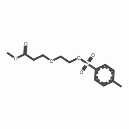 COC(=O)CCOCCOS(=O)(=O)c1ccc(C)cc1